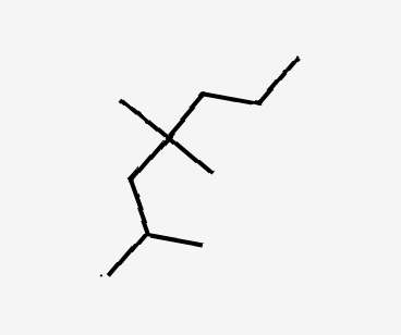 [CH2]C(C)CC(C)(C)CCC